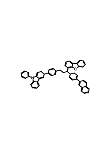 C1=CC(C(CCc2ccc(C3C=c4c(n(-c5ccccc5)c5ccccc45)=CC3)cc2)c2cccc3c2oc2ccccc23)CC=C1c1ccc2ccccc2c1